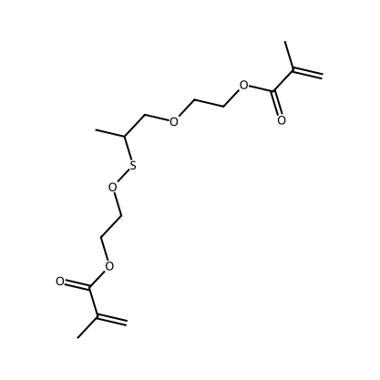 C=C(C)C(=O)OCCOCC(C)SOCCOC(=O)C(=C)C